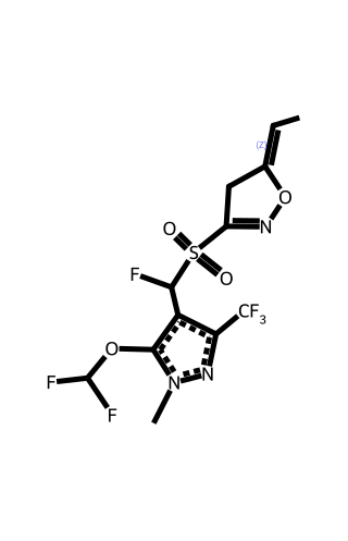 C/C=C1/CC(S(=O)(=O)C(F)c2c(C(F)(F)F)nn(C)c2OC(F)F)=NO1